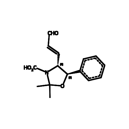 CC1(C)O[C@H](c2ccccc2)[C@@H](C=CC=O)N1C(=O)O